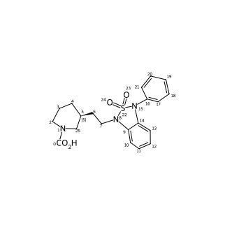 O=C(O)N1CCC[C@@H](CCN2c3ccccc3N(c3ccccc3)S2(=O)=O)C1